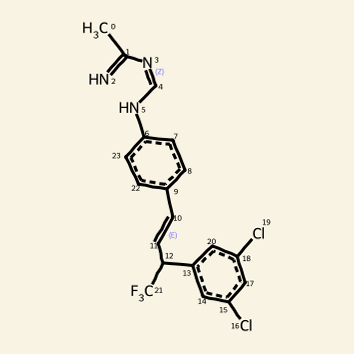 CC(=N)/N=C\Nc1ccc(/C=C/C(c2cc(Cl)cc(Cl)c2)C(F)(F)F)cc1